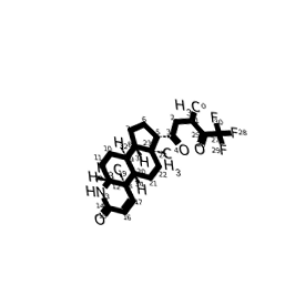 CC(CC(=O)[C@H]1CC[C@H]2[C@@H]3CC[C@H]4NC(=O)C=C[C@]4(C)[C@H]3CC[C@]12C)C(=O)C(F)(F)F